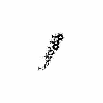 O=C(O)N(CCOCCO)C[C@H]1CN(c2ccc3cc(-c4ccccc4C(F)(F)F)[nH]c(=O)c3c2)C(=O)O1